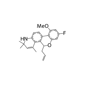 C=CCC1Oc2cc(F)cc(OC)c2-c2ccc3c(c21)C(C)=CC(C)(C)N3